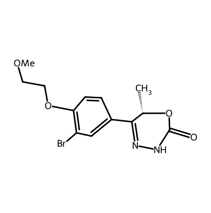 COCCOc1ccc(C2=NNC(=O)O[C@H]2C)cc1Br